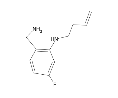 C=CCCNc1cc(F)ccc1CN